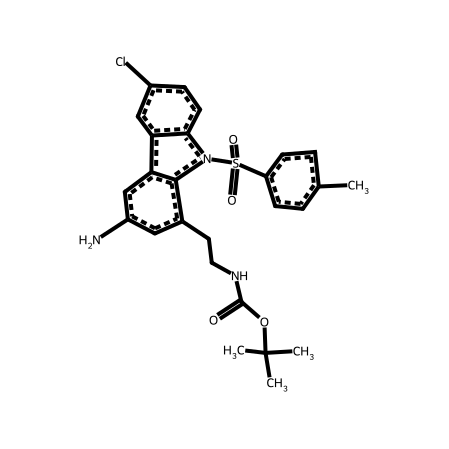 Cc1ccc(S(=O)(=O)n2c3ccc(Cl)cc3c3cc(N)cc(CCNC(=O)OC(C)(C)C)c32)cc1